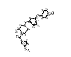 CC(=O)c1ccn(C(=O)N2CCN(Cc3cccc(Oc4ccc(Cl)cc4)c3)C[C@@H]2C)n1